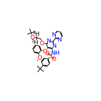 [2H]C([2H])(COc1nc(-c2ncccn2)nc(NS(=O)(=O)c2ccc(C(C)(C)C)cc2)c1Oc1ccccc1OC)OC(C)(C)C